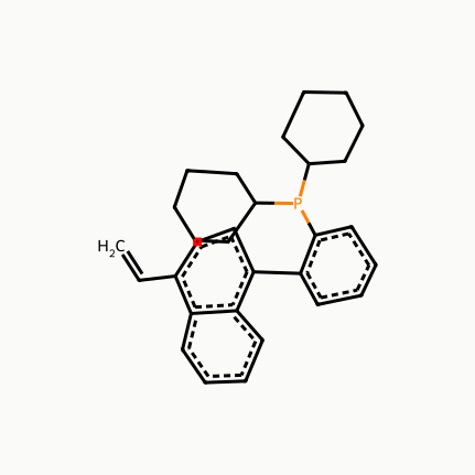 C=Cc1ccc(-c2ccccc2P(C2CCCCC2)C2CCCCC2)c2ccccc12